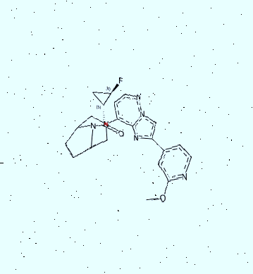 COc1cc(-c2cn3nccc(N4CC5CCC(C4)N5C(=O)[C@@H]4C[C@H]4F)c3n2)ccn1